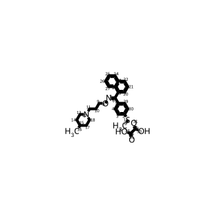 CSc1ccc(C(=NOCCCN2CCC(C)CC2)c2cccc3ccccc23)cc1.O=C(O)C(=O)O